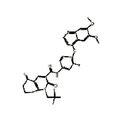 COc1cc2nccc(Oc3ccc(NC(=O)c4cc5c(n(CC(C)(C)C)c4=O)CCCC5=O)cc3F)c2cc1OC